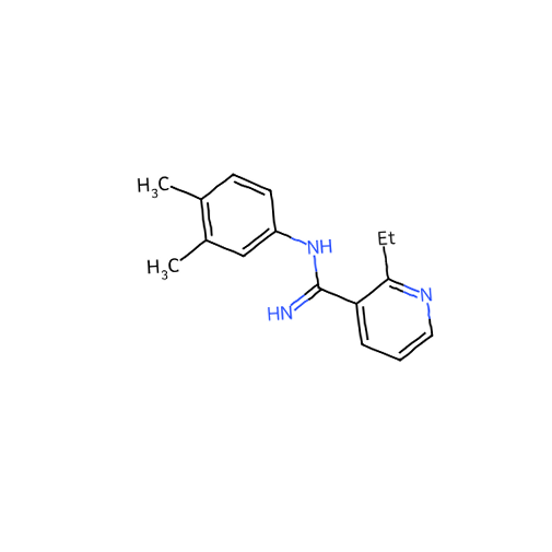 CCc1ncccc1C(=N)Nc1ccc(C)c(C)c1